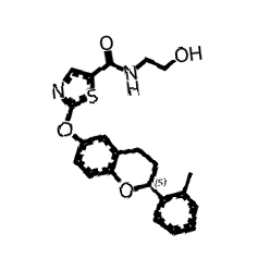 Cc1ccccc1[C@@H]1CCc2cc(Oc3ncc(C(=O)NCCO)s3)ccc2O1